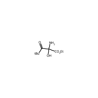 CCOC(=O)C(N)(O)C(=O)C(C)(C)C